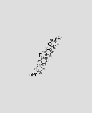 CCCC1CCC(c2ccc(-c3ccc(C4OCC(CCC)CO4)cc3)c(F)c2)CC1